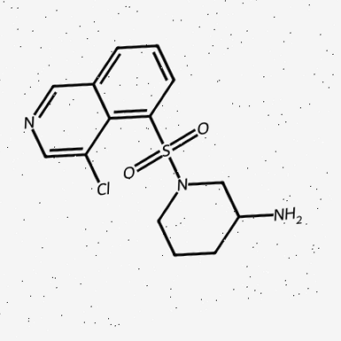 NC1CCCN(S(=O)(=O)c2cccc3cncc(Cl)c23)C1